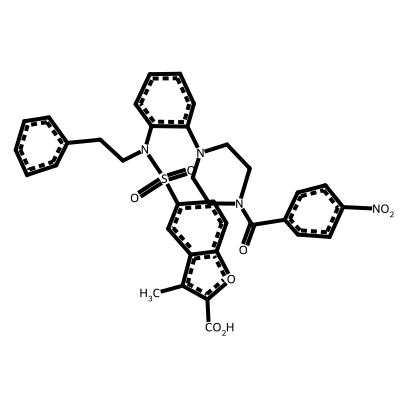 Cc1c(C(=O)O)oc2ccc(S(=O)(=O)N(CCc3ccccc3)c3ccccc3N3CCN(C(=O)c4ccc([N+](=O)[O-])cc4)CC3)cc12